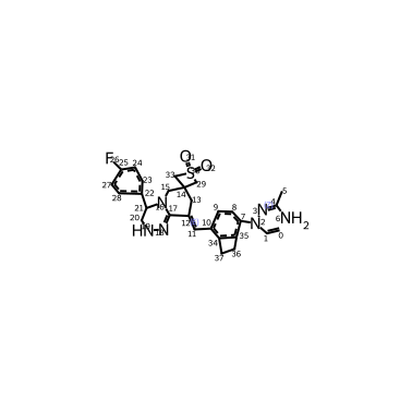 C=CN(/N=C(/C)N)c1ccc(/C=C2\CC3(CN4C2=NNCC4c2ccc(F)cc2)CS(=O)(=O)C3)c2c1CC2